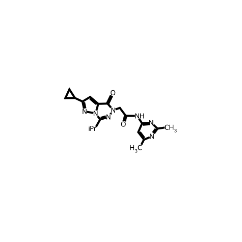 Cc1cc(NC(=O)Cn2nc(C(C)C)n3nc(C4CC4)cc3c2=O)nc(C)n1